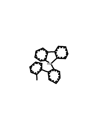 Cc1ccccc1-c1ccccc1[SiH]1c2ccccc2-c2ccccc21